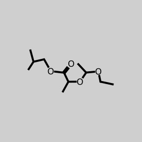 CCOC(C)OC(C)C(=O)OCC(C)C